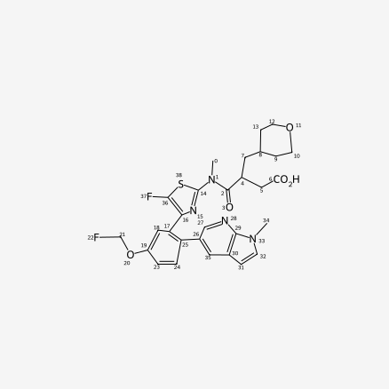 CN(C(=O)C(CC(=O)O)CC1CCOCC1)c1nc(-c2cc(OCF)ccc2-c2cnc3c(ccn3C)c2)c(F)s1